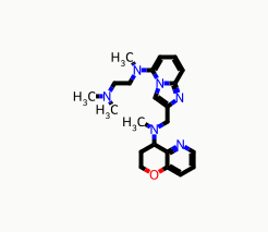 CN(C)CCN(C)c1cccc2nc(CN(C)C3CCOc4cccnc43)cn12